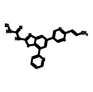 CC=Cc1ncc(-c2cc(-c3ccccn3)c3sc(NC(=O)NCC)nc3c2)cn1